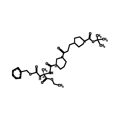 CCOC(=O)[C@@](C)(NC(=O)OCc1ccccc1)NC(=O)[C@@H]1CCCN(C(=O)CCC2CCN(C(=O)OC(C)(C)C)CC2)C1